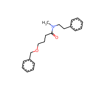 CN(CCc1ccccc1)C(=O)CCCOCc1ccccc1